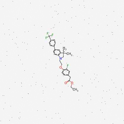 CCOC(=O)Cc1ccc(OCCN2CC(C)(C)c3cc(-c4ccc(C(F)(F)F)cc4)ccc32)c(F)c1